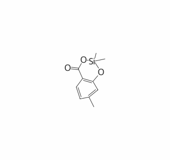 Cc1ccc2c(c1)O[Si](C)(C)OC2=O